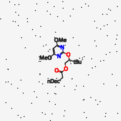 CCCCCCCCCCCC(=O)OCC(Oc1nc(OC)cc(OC)n1)C(C)(C)C